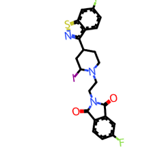 O=C1c2ccc(F)cc2C(=O)N1CCN1CCC(c2nsc3cc(F)ccc23)CC1I